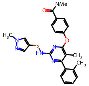 CNC(=O)c1ccc(Oc2nc(NSc3cnn(C)c3)nc(-c3ccccc3C)c2C)cc1